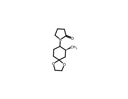 C[C@H]1CC2(CCC1N1CCCC1=O)OCCO2